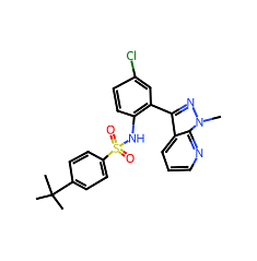 Cn1nc(-c2cc(Cl)ccc2NS(=O)(=O)c2ccc(C(C)(C)C)cc2)c2cccnc21